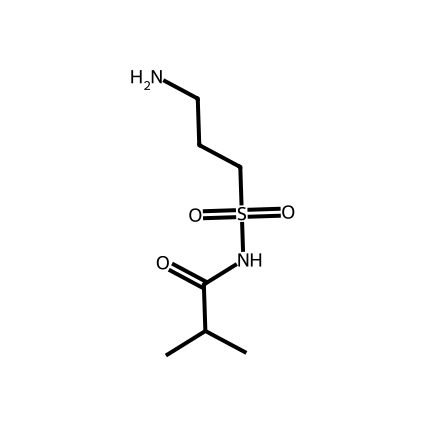 CC(C)C(=O)NS(=O)(=O)CCCN